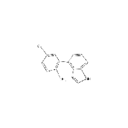 Cc1ccc(Cl)cc1-c1cccc2[nH]cnc12